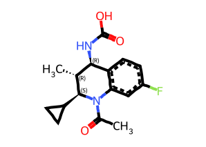 CC(=O)N1c2cc(F)ccc2[C@H](NC(=O)O)[C@@H](C)[C@@H]1C1CC1